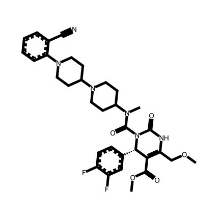 COCC1=C(C(=O)OC)[C@H](c2ccc(F)c(F)c2)N(C(=O)N(C)C2CCN(C3CCN(c4ccccc4C#N)CC3)CC2)C(=O)N1